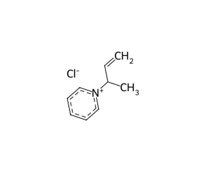 C=CC(C)[n+]1ccccc1.[Cl-]